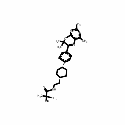 Cc1nc(N)c2c(n1)OC(C)(C)C(c1ccc([C@H]3CC[C@H](CCNC(=O)C(C)(C)O)CC3)cc1)=N2